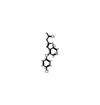 CC(=O)Cc1cc2c(Oc3ccc(Cl)cc3)cncc2s1